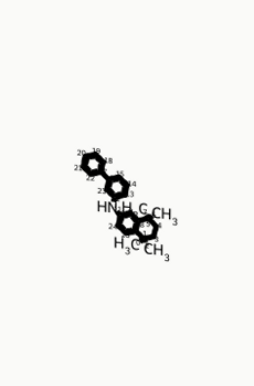 CC1(C)CCC(C)(C)c2cc(Nc3cccc(-c4ccccc4)c3)ccc21